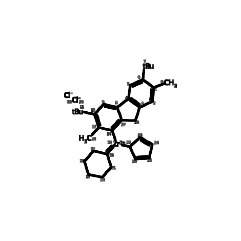 Cc1cc2c(cc1C(C)(C)C)-c1cc(C(C)(C)C)c(C)[c]([Zr+2](=[C]3CCCCC3)[CH]3C=CC=C3)c1C2.[Cl-].[Cl-]